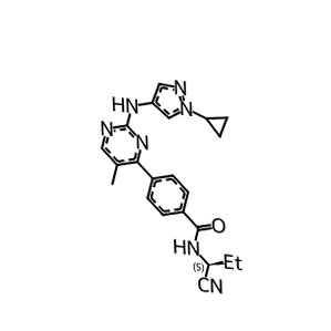 CC[C@@H](C#N)NC(=O)c1ccc(-c2nc(Nc3cnn(C4CC4)c3)ncc2C)cc1